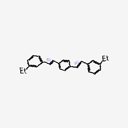 CCc1cccc(/C=C/c2ccc(/C=C/c3cccc(CC)c3)cc2)c1